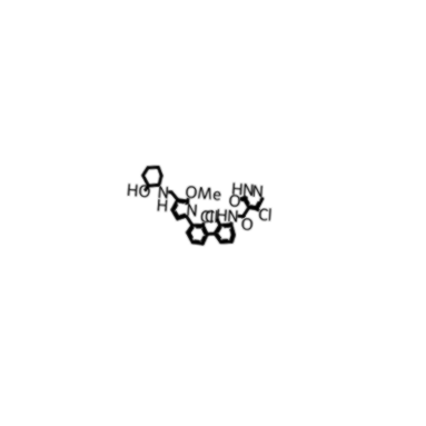 COc1nc(-c2cccc(-c3cccc(NC(=O)c4c(Cl)cn[nH]c4=O)c3Cl)c2Cl)ccc1CNC1CCCCC1O